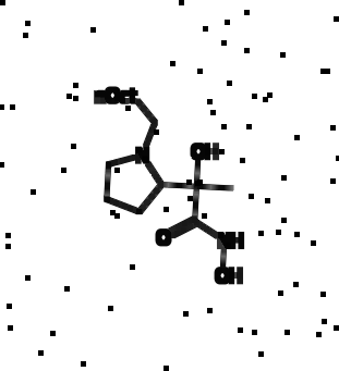 CCCCCCCCCN1CCCC1C(C)(O)C(=O)NO